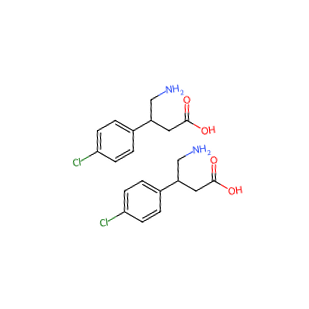 NCC(CC(=O)O)c1ccc(Cl)cc1.NCC(CC(=O)O)c1ccc(Cl)cc1